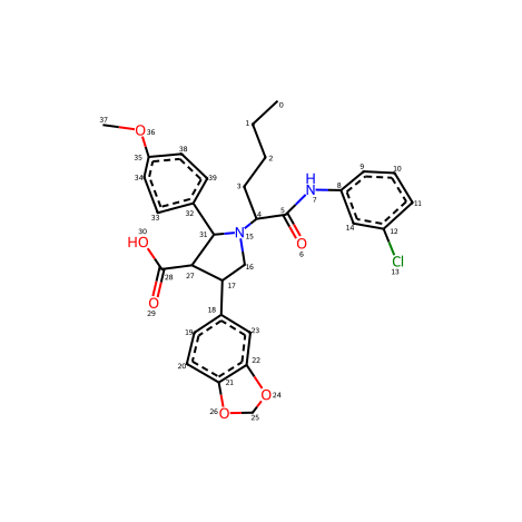 CCCCC(C(=O)Nc1cccc(Cl)c1)N1CC(c2ccc3c(c2)OCO3)C(C(=O)O)C1c1ccc(OC)cc1